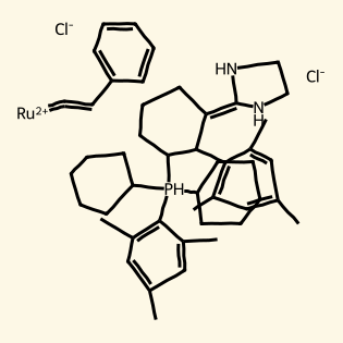 Cc1cc(C)c(C2C(=C3NCCN3)CCCC2[PH](c2c(C)cc(C)cc2C)(C2CCCCC2)C2CCCCC2)c(C)c1.[Cl-].[Cl-].[Ru+2]=[C]=Cc1ccccc1